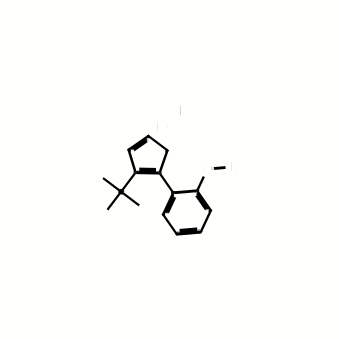 CC(C)(C)C1=C(c2ccccc2[O][Ti])CC=C1.Cl.Cl